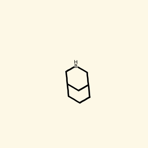 B1CC2CCCC(C1)C2